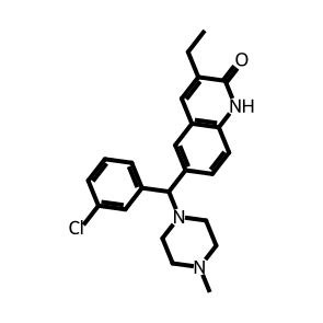 CCc1cc2cc(C(c3cccc(Cl)c3)N3CCN(C)CC3)ccc2[nH]c1=O